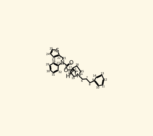 O=C(O[C@H]1C[N+]2(CCCc3ccccc3)CCC1CC2)N(Cc1cccs1)c1ccccc1